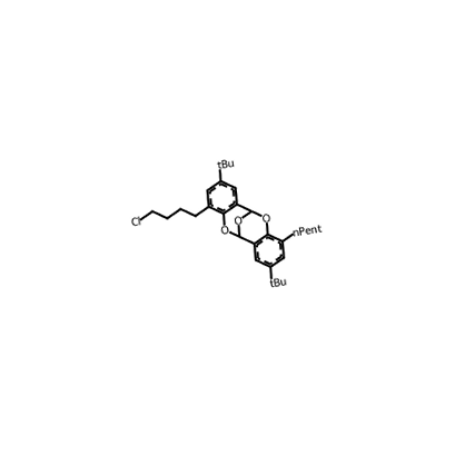 CCCCCc1cc(C(C)(C)C)cc2c1OC1OC2Oc2c(CCCCCl)cc(C(C)(C)C)cc21